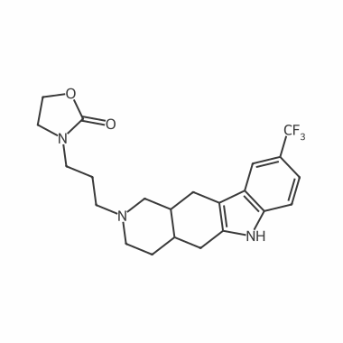 O=C1OCCN1CCCN1CCC2Cc3[nH]c4ccc(C(F)(F)F)cc4c3CC2C1